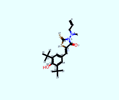 C=CCN(C)N1C(=O)/C(=C/c2cc(C(C)(C)C)c(O)c(C(C)(C)C)c2)SC1=S